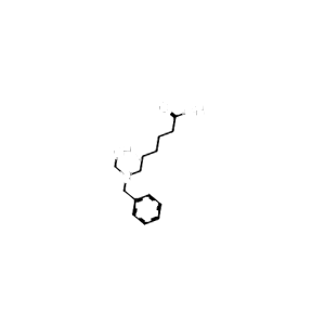 CCN(CCCCCC(=O)O)Cc1ccccc1